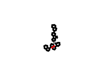 CC1(C)c2cc(-c3ccc4ccccc4c3)ccc2-c2ccc(N(c3ccc(-c4cccc5ccccc45)cc3)c3ccccc3-c3ccccc3)cc21